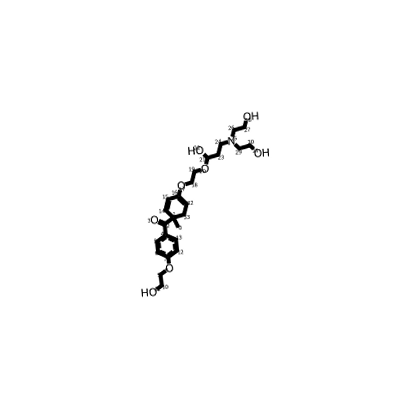 CC1(C(=O)c2ccc(OCCO)cc2)C=CC(OCCOC(O)CCN(CCO)CCO)=CC1